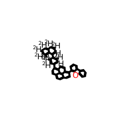 [2H]c1c([2H])c(-c2c([2H])c([2H])c([2H])c3c([2H])c([2H])c([2H])c([2H])c23)c([2H])c([2H])c1-c1ccc2ccc3ccc(-c4cccc5c4oc4ccccc45)c4ccc1c2c34